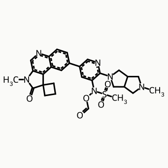 CN1CC2CN(c3ncc(-c4ccc5ncc6c(c5c4)C4(CCC4)C(=O)N6C)cc3N(OC=O)S(C)(=O)=O)CC2C1